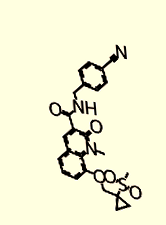 Cn1c(=O)c(C(=O)NCc2ccc(C#N)cc2)cc2cccc(OCC3(S(C)(=O)=O)CC3)c21